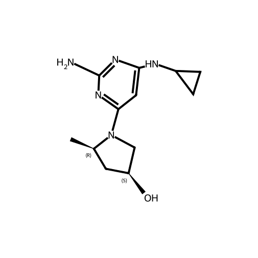 C[C@@H]1C[C@H](O)CN1c1cc(NC2CC2)nc(N)n1